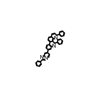 c1ccc(-c2ccc3ccc4c5ccc(-c6ccn7cc(-c8ccccc8)nc7c6)cc5nc(-c5ccccc5)c4c3n2)cc1